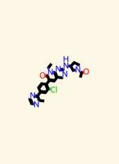 CCn1c(=O)c(-c2ccc(-c3nccnc3C)cc2Cl)cc2cnc(NC3CCN(C(C)=O)C3)nc21